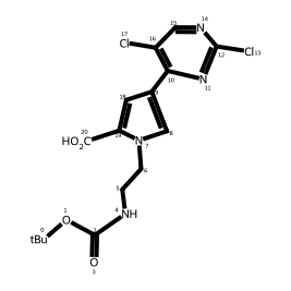 CC(C)(C)OC(=O)NCCn1cc(-c2nc(Cl)ncc2Cl)cc1C(=O)O